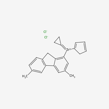 Cc1ccc2c(c1)-c1cc(C)c[c]([Zr+2]([C]3=CC=CC3)=[C]3CC3)c1C2.[Cl-].[Cl-]